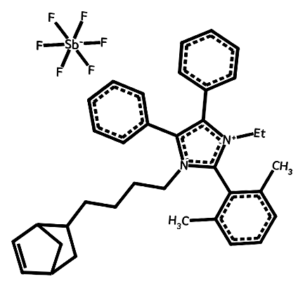 CC[n+]1c(-c2ccccc2)c(-c2ccccc2)n(CCCCC2CC3C=CC2C3)c1-c1c(C)cccc1C.[F][Sb-]([F])([F])([F])([F])[F]